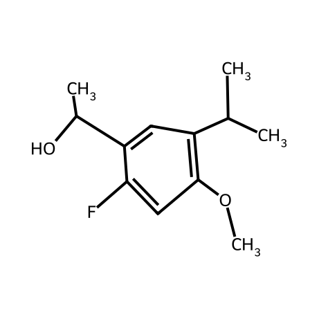 COc1cc(F)c(C(C)O)cc1C(C)C